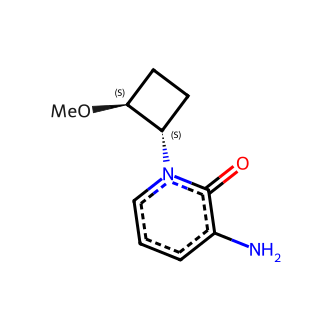 CO[C@H]1CC[C@@H]1n1cccc(N)c1=O